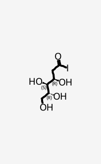 O=C(I)C[C@@H](O)[C@H](O)[C@H](O)CO